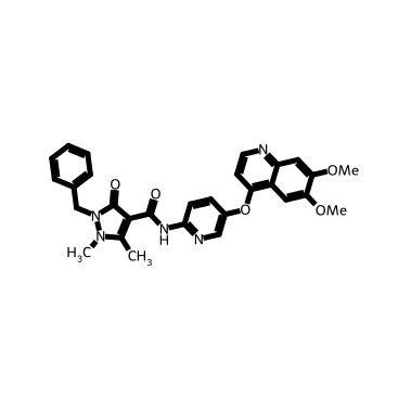 COc1cc2nccc(Oc3ccc(NC(=O)c4c(C)n(C)n(Cc5ccccc5)c4=O)nc3)c2cc1OC